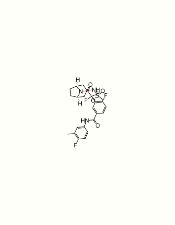 Cc1cc(NC(=O)c2ccc(F)c(C(F)(F)C(=O)N3[C@@H]4CC[C@H]3CC(NS(C)(=O)=O)C4)c2)ccc1F